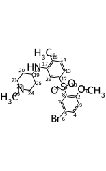 COc1ccc(Br)cc1S(=O)(=O)c1ccc(C)c(NC2CCN(C)CC2)c1